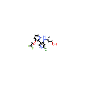 C[C@@H](CCO)Nc1cc(Cl)ncc1-c1ncccc1OCC(F)F